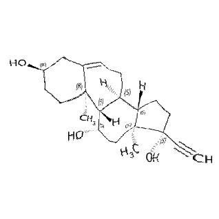 C#C[C@]1(O)CC[C@H]2[C@@H]3CC=C4C[C@H](O)CC[C@]4(C)[C@H]3[C@@H](O)C[C@@]21C